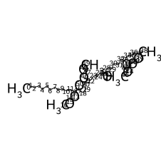 CCCCCCCCCCCCC(OCOC)C1CCC(C(CCCCC(=O)CCCCCC(CC2=CC(C)OC2=O)OCOC)OCOC)O1